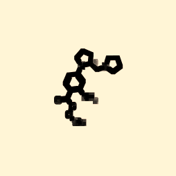 CC(C)(C)OOC(=O)c1ccc(N2CCC[C@H]2CN2CCCC2)cc1N